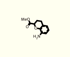 COC(=O)C1CCc2cccc(N)c2O1